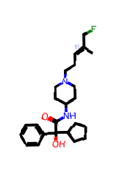 C/C(=C\CCN1CCC(NC(=O)C(O)(c2ccccc2)C2CCCC2)CC1)CF